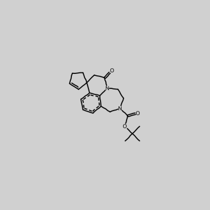 CC(C)(C)OC(=O)N1CCN2C(=O)CC3(C=CCC3)c3cccc(c32)C1